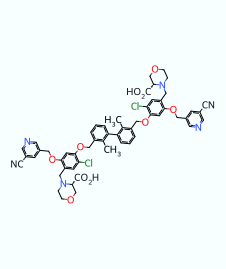 Cc1c(COc2cc(OCc3cncc(C#N)c3)c(CN3CCOC[C@@H]3C(=O)O)cc2Cl)cccc1-c1cccc(COc2cc(OCc3cncc(C#N)c3)c(CN3CCOC[C@@H]3C(=O)O)cc2Cl)c1C